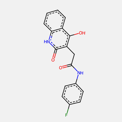 O=C(Cc1c(O)c2ccccc2[nH]c1=O)Nc1ccc(F)cc1